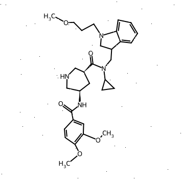 COCCCN1CC(CN(C(=O)[C@@H]2CNC[C@H](NC(=O)c3ccc(OC)c(OC)c3)C2)C2CC2)c2ccccc21